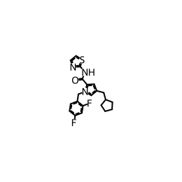 O=C(Nc1nccs1)c1cc(CC2CCCC2)cn1Cc1ccc(F)cc1F